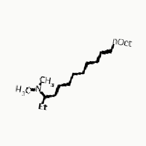 [CH2]CC(CCCCCCCC=CCCCCCCCC)N(C)C